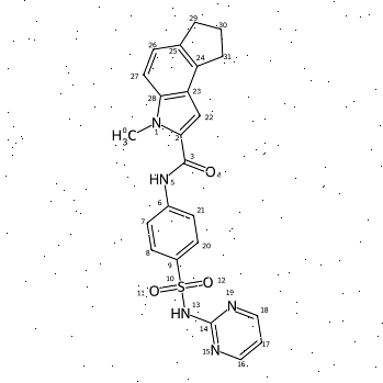 Cn1c(C(=O)Nc2ccc(S(=O)(=O)Nc3ncccn3)cc2)cc2c3c(ccc21)CCC3